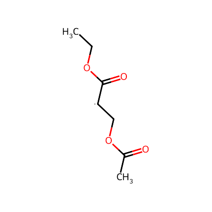 CCOC(=O)[CH]COC(C)=O